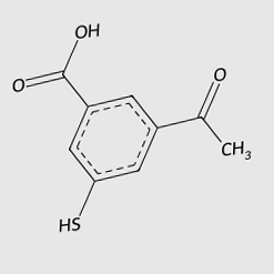 CC(=O)c1cc(S)cc(C(=O)O)c1